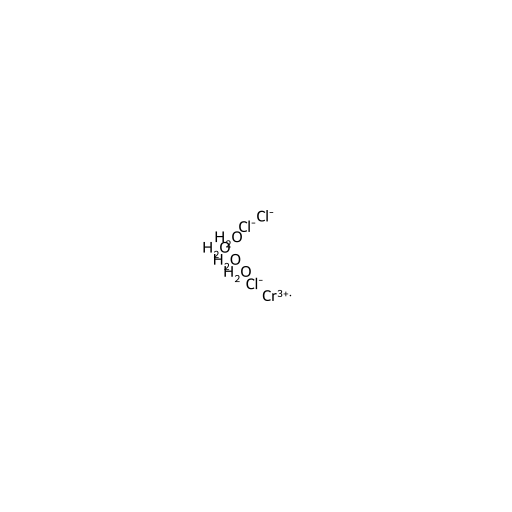 O.O.O.O.[Cl-].[Cl-].[Cl-].[Cr+3]